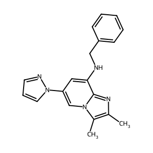 Cc1nc2c(NCc3ccccc3)cc(-n3cccn3)cn2c1C